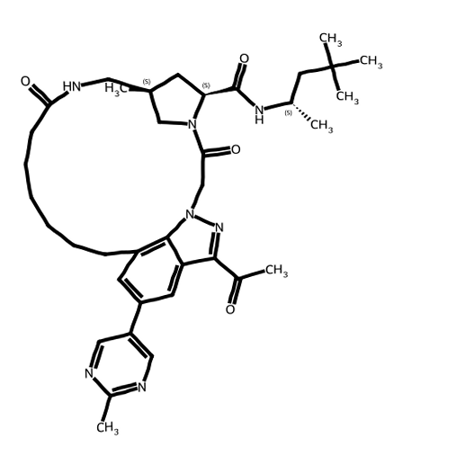 CC(=O)c1nn2c3c(cc(-c4cnc(C)nc4)cc13)CCCCCCC(=O)NC[C@]1(C)C[C@@H](C(=O)N[C@@H](C)CC(C)(C)C)N(C1)C(=O)C2